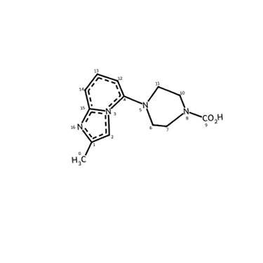 Cc1cn2c(N3CCN(C(=O)O)CC3)cccc2n1